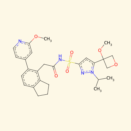 COc1cc(-c2ccc3c(c2CC(=O)NS(=O)(=O)c2cc(C4(OC)COC4)n(C(C)C)n2)CCC3)ccn1